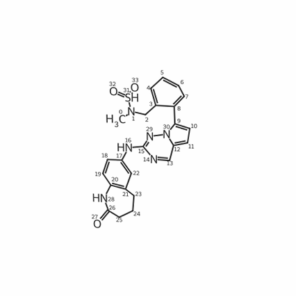 CN(Cc1ccccc1-c1ccc2cnc(Nc3ccc4c(c3)CCCC(=O)N4)nn12)[SH](=O)=O